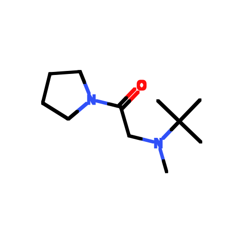 CN(CC(=O)N1CCCC1)C(C)(C)C